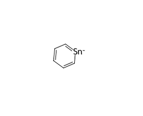 C1=C[CH]=[Sn-][CH]=C1